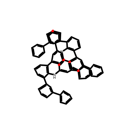 c1ccc(-c2cc(Nc3c(-c4cccc(-c5ccccc5)c4)cccc3-c3cccc(-c4ccccc4)c3)cc(Nc3c(-c4cccc(-c5ccccc5)c4)cccc3-c3cccc(-c4ccccc4)c3)c2)cc1